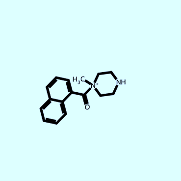 C[N+]1(C(=O)c2cccc3ccccc23)CCNCC1